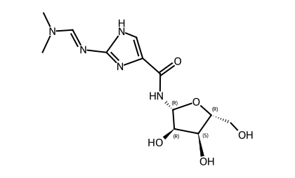 CN(C)C=Nc1nc(C(=O)N[C@@H]2O[C@H](CO)[C@@H](O)[C@H]2O)c[nH]1